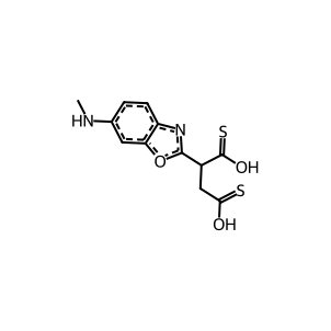 CNc1ccc2nc(C(CC(O)=S)C(O)=S)oc2c1